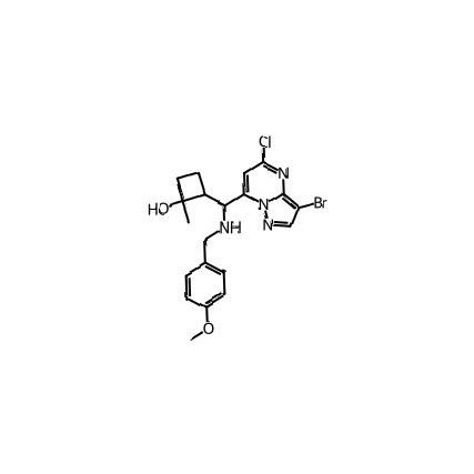 COc1ccc(CNC(c2cc(Cl)nc3c(Br)cnn23)C2CCC2(C)O)cc1